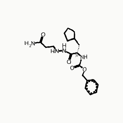 NC(=O)CCNNC(=O)[C@H](CC1CCCC1)NC(=O)OCc1ccccc1